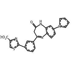 CCOC(=O)c1csc(-c2cccc(C3=Nc4ccc(-n5cccc5)cc4NC(=O)C3)c2)n1